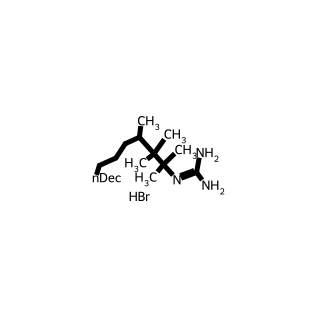 Br.CCCCCCCCCCCCCC(C)C(C)(C)C(C)(C)N=C(N)N